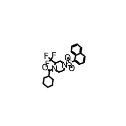 O=C(C1CCCCC1)N1CCN(S(=O)(=O)c2cccc3ccccc23)CC1C(F)(F)F